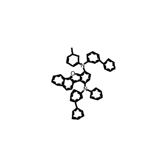 CC1C=CC=C(N(c2cccc(-c3ccccc3)c2)c2ccc(N(c3ccccc3)c3cccc(-c4ccccc4)c3)c3c2oc2c4ccccc4ccc23)C1